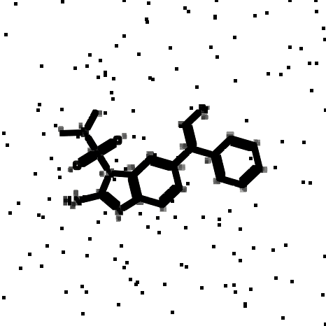 CN(C)S(=O)(=O)n1c(N)nc2ccc(C(=CBr)c3ccccc3)cc21